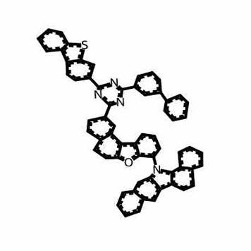 c1ccc(-c2cccc(-c3nc(-c4ccc5c(c4)sc4ccccc45)nc(-c4ccc5ccc6oc7c(-n8c9cc%10ccccc%10cc9c9ccc%10ccccc%10c98)cccc7c6c5c4)n3)c2)cc1